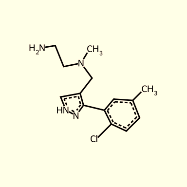 Cc1ccc(Cl)c(-c2n[nH]cc2CN(C)CCN)c1